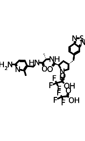 Cc1nc(N)ccc1CNC(=O)[C@H](C)NC(=O)[C@H]1C[C@H](Cc2ccc3nsnc3c2)CN1.O=C(O)C(F)(F)F.O=C(O)C(F)(F)F